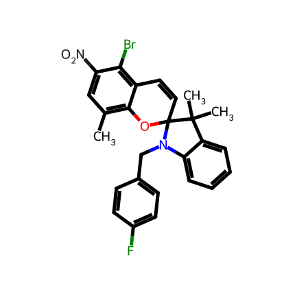 Cc1cc([N+](=O)[O-])c(Br)c2c1OC1(C=C2)N(Cc2ccc(F)cc2)c2ccccc2C1(C)C